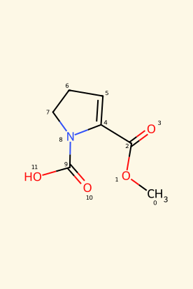 COC(=O)C1=CCCN1C(=O)O